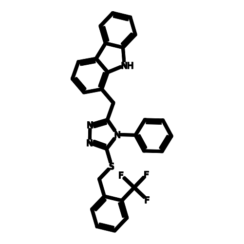 FC(F)(F)c1ccccc1CSc1nnc(Cc2cccc3c2[nH]c2ccccc23)n1-c1ccccc1